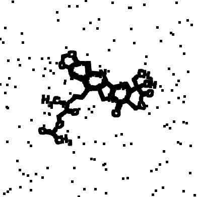 CCC1(O)C(=O)OCc2c1cc1n(c2=O)Cc2c-1nc1cc3c(cc1c2CCN(C)C(=O)COC(C)=O)OCO3